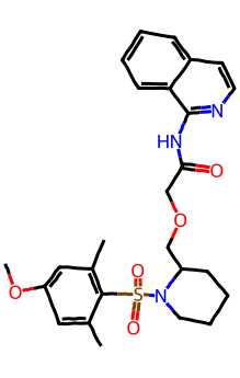 COc1cc(C)c(S(=O)(=O)N2CCCCC2COCC(=O)Nc2nccc3ccccc23)c(C)c1